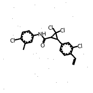 C=Cc1ccc(C2C(C(=O)Nc3ccc(Cl)c(C)c3)C2(Cl)Cl)cc1Cl